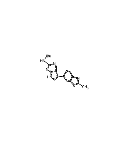 CC[C@H](C)Nc1ncc2c(-c3ccc4nc(C)sc4c3)c[nH]c2n1